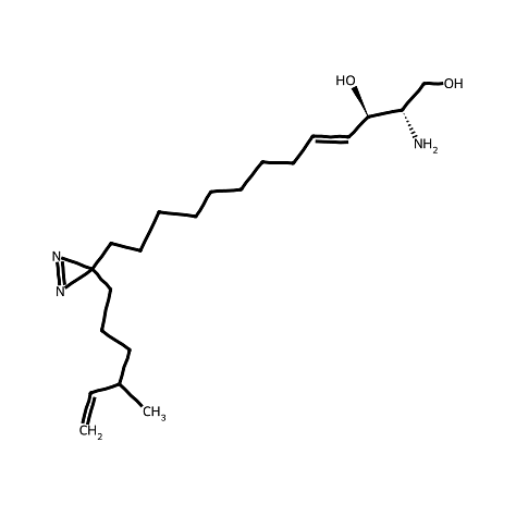 C=CC(C)CCCC1(CCCCCCCC/C=C/[C@@H](O)[C@@H](N)CO)N=N1